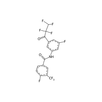 O=C(Nc1cc(F)cc(C(=O)C(F)(F)C(F)F)c1)c1ccc(F)c(C(F)(F)F)c1